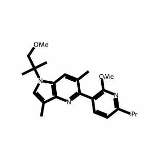 COCC(C)(C)n1cc(C)c2nc(-c3ccc(C(C)C)nc3OC)c(C)cc21